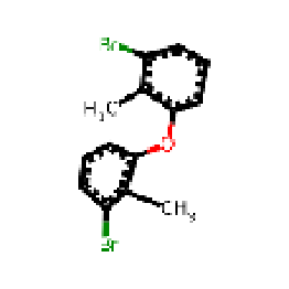 Cc1c(Br)cccc1Oc1cccc(Br)c1C